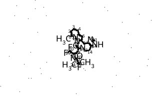 Cc1cccc2cc(C3c4nc[nH]c4CCN3C(=O)c3oc(C(C)(C)F)nc3C(F)F)nn12